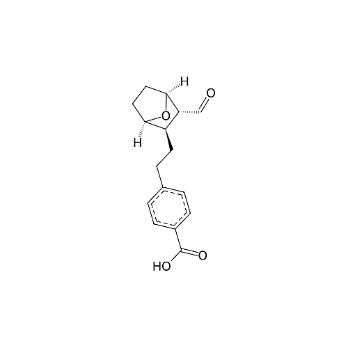 O=C[C@@H]1[C@@H](CCc2ccc(C(=O)O)cc2)[C@H]2CC[C@@H]1O2